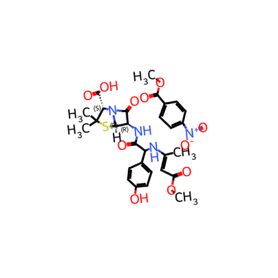 COC(=O)C=C(C)NC(C(=O)N[C@@H]1C(=O)N2[C@@H]1SC(C)(C)[C@@H]2C(=O)O)c1ccc(O)cc1.COC(=O)c1ccc([N+](=O)[O-])cc1